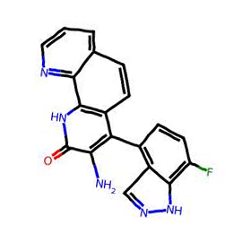 Nc1c(-c2ccc(F)c3[nH]ncc23)c2ccc3cccnc3c2[nH]c1=O